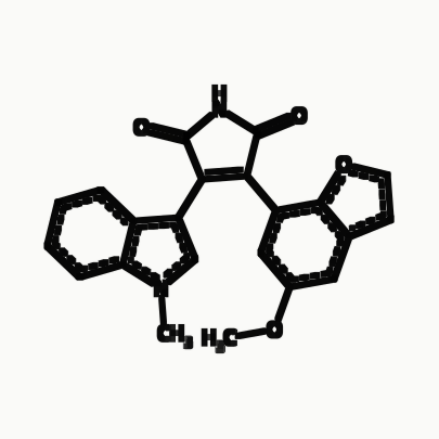 COc1cc(C2=C(c3cn(C)c4ccccc34)C(=O)NC2=O)c2occc2c1